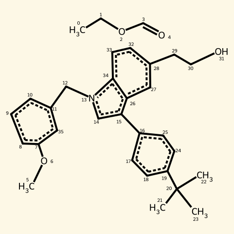 CCOC=O.COc1cccc(Cn2cc(-c3ccc(C(C)(C)C)cc3)c3cc(CCO)ccc32)c1